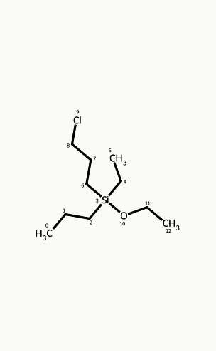 CCC[Si](CC)(CCCCl)OCC